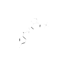 CC(C)(C)OC(=O)N1CCCC1C(=O)NNC(=O)c1ccc(Br)cc1